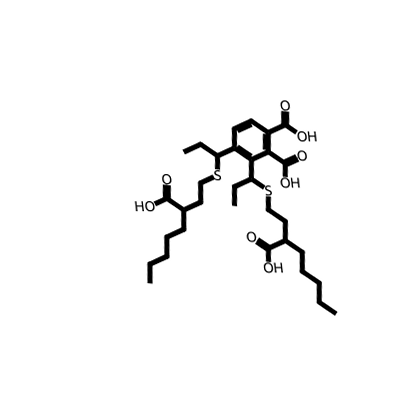 CCCCCC(CCSC(CC)c1ccc(C(=O)O)c(C(=O)O)c1C(CC)SCCC(CCCCC)C(=O)O)C(=O)O